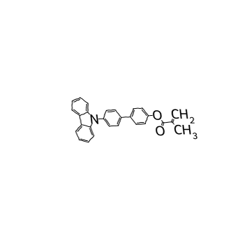 C=C(C)C(=O)Oc1ccc(-c2ccc(-n3c4ccccc4c4ccccc43)cc2)cc1